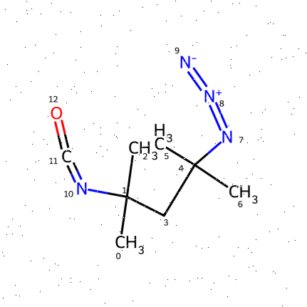 CC(C)(CC(C)(C)N=[N+]=[N-])N=C=O